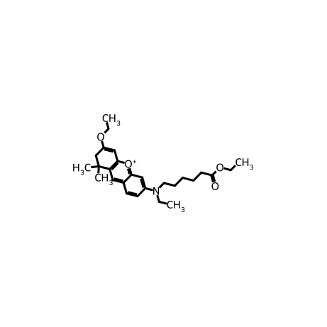 CCOC(=O)CCCCCN(CC)c1ccc2cc3c([o+]c2c1)C=C(OCC)CC3(C)C